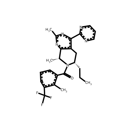 CCC[C@H]1Cc2c(-c3ncccn3)nc(C)nc2[C@@H](C)N1C(=O)c1cccc(C(F)(F)F)c1C